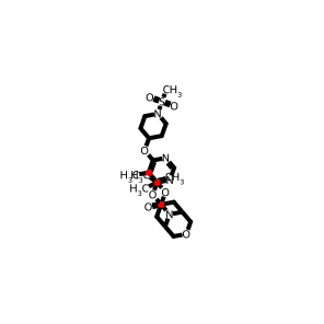 Cc1c(OC2CCN(S(C)(=O)=O)CC2)ncnc1OC1CC2COCC(C1)N2C(=O)OC(C)(C)C